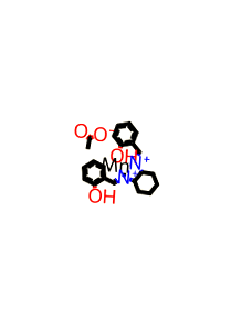 CC(=O)[O-].Oc1ccccc1C=[N+]1[Mn][N+](=Cc2ccccc2O)C2CCCCC21